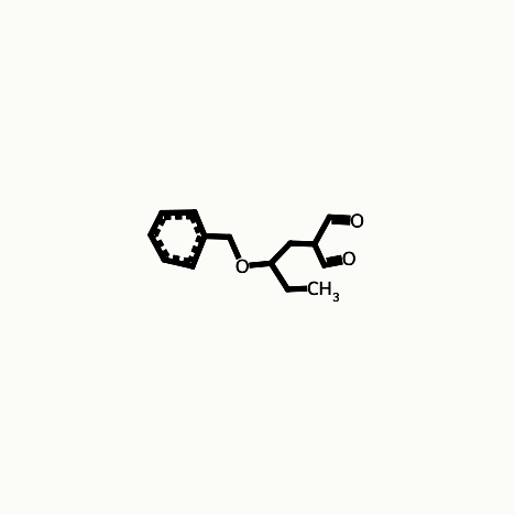 CCC(CC(C=O)C=O)OCc1ccccc1